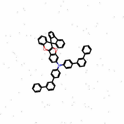 c1ccc(-c2cccc(-c3ccc(N(c4ccc(-c5cccc(-c6ccccc6)c5)cc4)c4ccc5c6c(oc5c4)C4(c5ccccc5O6)c5ccccc5-c5ccccc54)cc3)c2)cc1